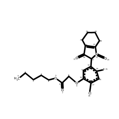 CCCCCOC(=O)COc1cc(C2C(=O)C3=C(CCCC3)[N+]2=O)c(F)cc1Cl